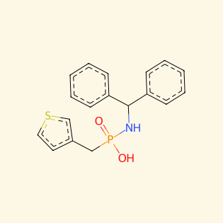 O=P(O)(Cc1ccsc1)NC(c1ccccc1)c1ccccc1